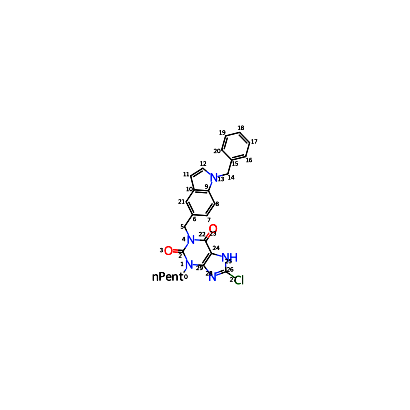 CCCCCn1c(=O)n(Cc2ccc3c(ccn3Cc3ccccc3)c2)c(=O)c2[nH]c(Cl)nc21